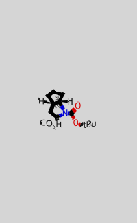 CC(C)(C)OC(=O)N1C(C(=O)O)C[C@@H]2CCC[C@@H]21